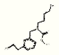 COCCCCN(Cc1cccc(CCO)c1)C(=O)OC(C)(C)C